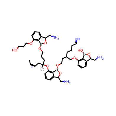 C/C=C\CC(CC)(CCCOB1OC(CN)c2cccc(OCCCO)c21)Oc1cccc2c1B(OCCC(CCCC=N)COc1cccc3c1B(O)OC3CN)OC2CN